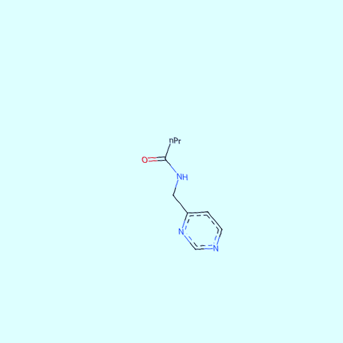 CCCC(=O)NCc1ccncn1